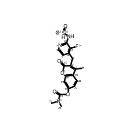 Cc1c(Cc2ccnc(N[SH](=O)=O)c2F)c(=O)oc2cc(OC(=O)N(C)C)ccc12